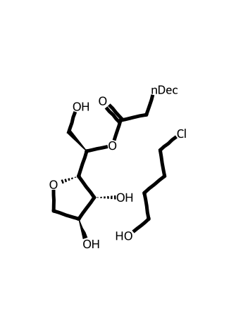 CCCCCCCCCCCC(=O)O[C@H](CO)[C@H]1OC[C@H](O)[C@H]1O.OCCCCCl